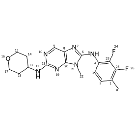 Cc1ccc(Nc2nc3cnc(NC4CCOCC4)nc3n2C)c(F)c1F